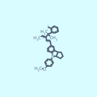 C/C=C(\C=C\c1ccc2c(c1)C1CCCC1N2c1ccc(OC)cc1)C(C)(C)c1ccccc1I